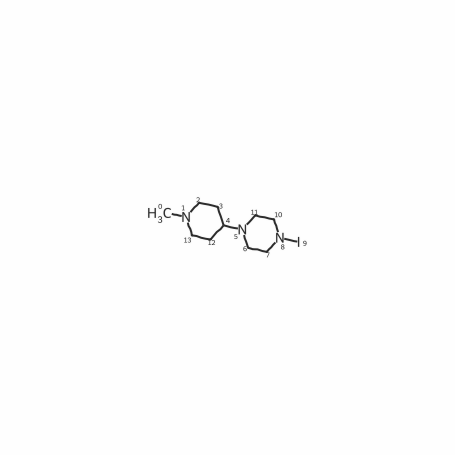 CN1CCC(N2CCN(I)CC2)CC1